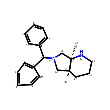 c1ccc(C(c2ccccc2)N2C[C@@H]3CCCN[C@@H]3C2)cc1